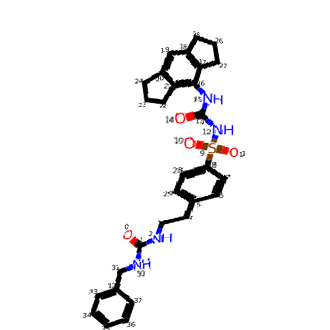 O=C(NCCc1ccc(S(=O)(=O)NC(=O)Nc2c3c(cc4c2CCC4)CCC3)cc1)NCc1ccccc1